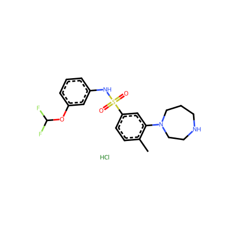 Cc1ccc(S(=O)(=O)Nc2cccc(OC(F)F)c2)cc1N1CCCNCC1.Cl